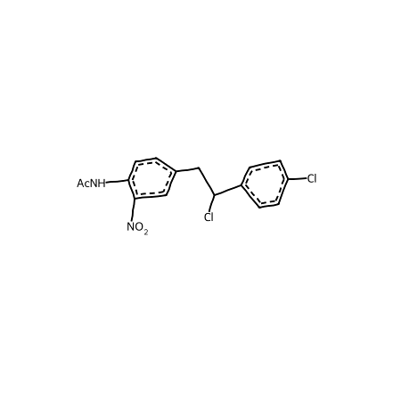 CC(=O)Nc1ccc(CC(Cl)c2ccc(Cl)cc2)cc1[N+](=O)[O-]